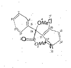 COC(=O)C(OC)(c1ccccc1)c1cnccc1Cl